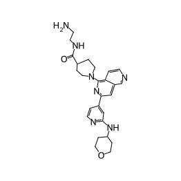 NCCNC(=O)C1CCN(c2nc(-c3ccnc(NC4CCOCC4)c3)cc3cnccc23)CC1